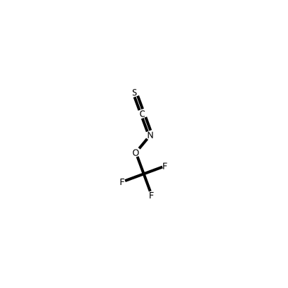 FC(F)(F)ON=C=S